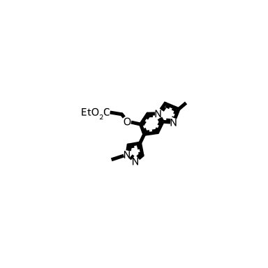 CCOC(=O)COc1cn2cc(C)nc2cc1-c1cnn(C)c1